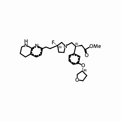 COC(=O)C[C@H](CN1CC[C@@](F)(CCc2ccc3c(n2)NCCC3)C1)c1cccc(O[C@@H]2CCOC2)c1